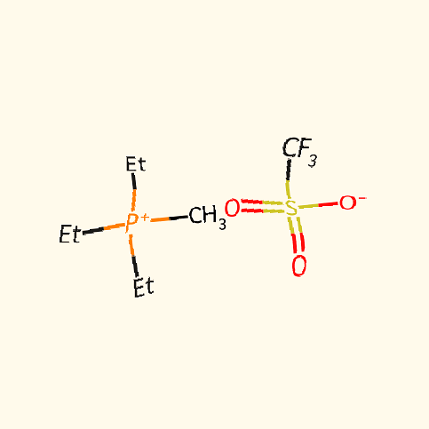 CC[P+](C)(CC)CC.O=S(=O)([O-])C(F)(F)F